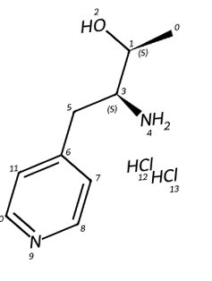 C[C@H](O)[C@@H](N)Cc1ccncc1.Cl.Cl